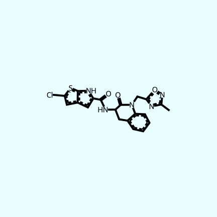 Cc1noc(CN2C(=O)C(NC(=O)c3cc4cc(Cl)sc4[nH]3)Cc3ccccc32)n1